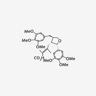 COc1cc(C[C@H]2CO[C@H](c3cc(OC)c(OC)c(OC)c3)[C@@H]2CC(C)=C(C)C(=O)O)cc(OC)c1OC